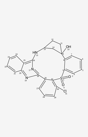 O=S1(=O)c2ccccc2C2(O)CCC(C2)Nc2nc(nc3ccccc23)-c2cccc(Cl)c21